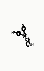 Cc1ccc(-c2cc(N3CCC4(CCCNC4)C3)nn2-c2ccc(C#N)cc2)cc1